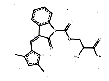 Cc1cc(C)c(/C=C2\C(=O)N(C(=O)OCC(O)C(=O)O)c3ccccc32)[nH]1